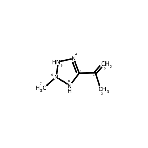 C=C(C)C1=NNN(C)N1